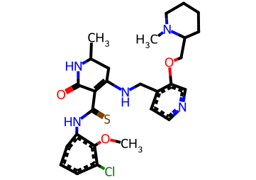 COc1c(Cl)cccc1NC(=S)C1=C(NCc2ccncc2OCC2CCCCN2C)CC(C)NC1=O